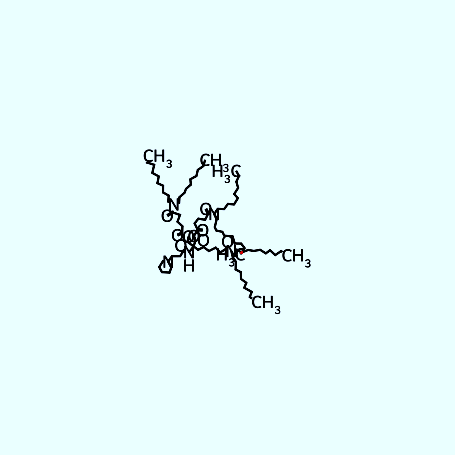 CCCCCCCCCCN(CCCCCCCCCC)C(=O)CCCC(=O)CC(COC(=O)CCCC(=O)N(CCCCCCCCCC)CCCCCCCCCC)(COC(=O)CCCC(=O)N(CCCCCCCCCC)CCCCCCCCCC)NC(=O)CCN1CCCCC1